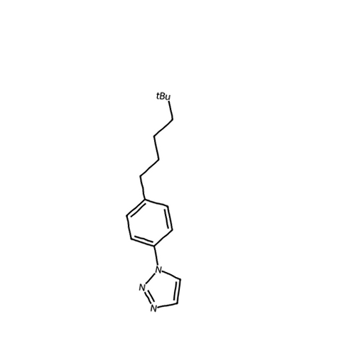 CC(C)(C)CCCCc1ccc(-n2ccnn2)cc1